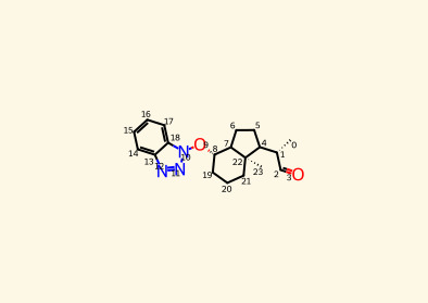 C[C@H](C=O)C1CCC2[C@@H](On3nnc4ccccc43)CCC[C@]12C